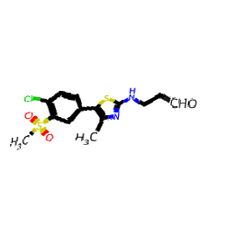 Cc1nc(NCCC=O)sc1-c1ccc(Cl)c(S(C)(=O)=O)c1